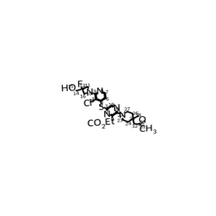 CCOC(=O)c1nc(Sc2ccnc(N3CC(F)(CO)C3)c2Cl)cnc1N1CCC2(CC1)CO[C@@H](C)C2